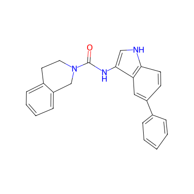 O=C(Nc1c[nH]c2ccc(-c3ccccc3)cc12)N1CCc2ccccc2C1